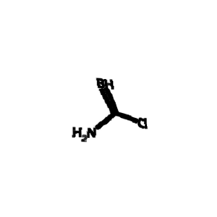 B=C(N)Cl